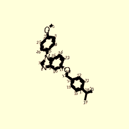 COc1ccc(-n2cnc3cc(OCc4ccc(C(C)C)cc4)ccc32)cc1